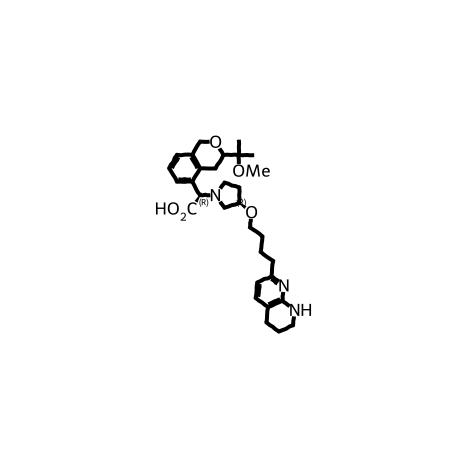 COC(C)(C)C1Cc2c(cccc2[C@H](C(=O)O)N2CC[C@@H](OCCCCc3ccc4c(n3)NCCC4)C2)CO1